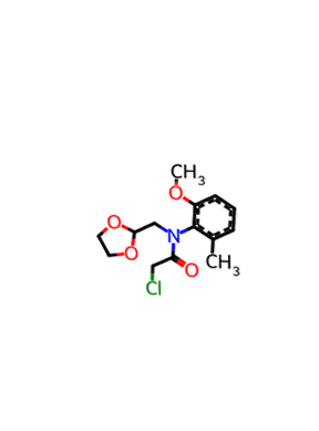 COc1cccc(C)c1N(CC1OCCO1)C(=O)CCl